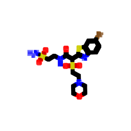 NS(=O)(=O)CCNC(=O)C(c1nc2ccc(Br)cc2s1)S(=O)(=O)CCN1CCOCC1